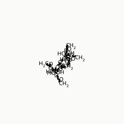 C=CC(=O)CCOCC(O)C(COCCOCCOCC(C(O)COC(=O)C=C)(C(O)COC(=O)C=C)C(O)COC(=O)C=C)(C(O)COC(=O)C=C)C(O)COC(=O)C=C